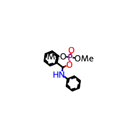 COP(=O)(OC)OC(Nc1ccccc1)c1ccccc1